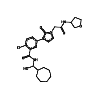 O=C(Cn1ccn(-c2ccc(Cl)c(C(=O)NC(O)C3CCCCCC3)c2)c1=O)NC1CCOC1